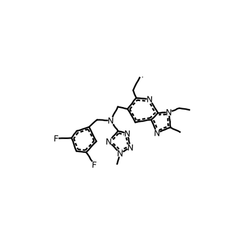 [CH2]Cc1nc2c(cc1CN(Cc1cc(F)cc(F)c1)c1nnn(C)n1)nc(C)n2CC